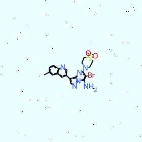 Cc1ccc2ncc(-c3cnn4c(N)c(Br)c(N5CCS(=O)(=O)CC5)nc34)cc2c1